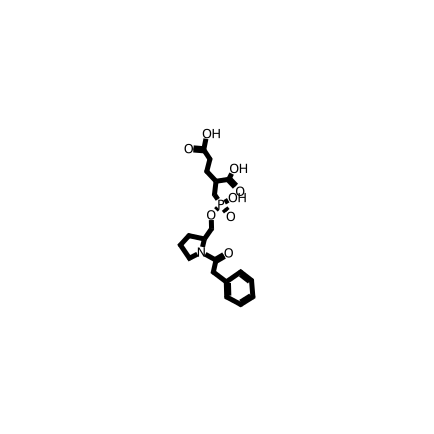 O=C(O)CCC(CP(=O)(O)OCC1CCCN1C(=O)Cc1ccccc1)C(=O)O